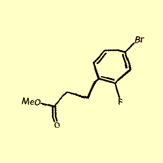 COC(=O)CCc1ccc(Br)cc1F